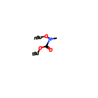 CCCCON(C)C(=O)OC(C)(C)C